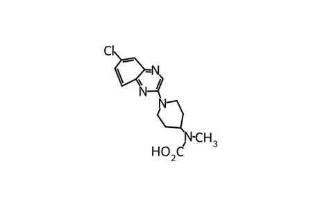 CN(C(=O)O)C1CCN(c2cnc3cc(Cl)ccc3n2)CC1